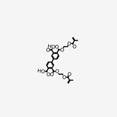 C=C(C)C(=O)OCCOC(=O)c1ccc(-c2ccc(C(=O)O)c(C(=O)OCCOC(=O)C(=C)C)c2)cc1C(=O)O